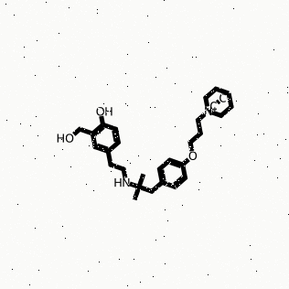 CC(C)(Cc1ccc(OCCC[N+]23CCC(CC2)CC3)cc1)NCCc1ccc(O)c(CO)c1